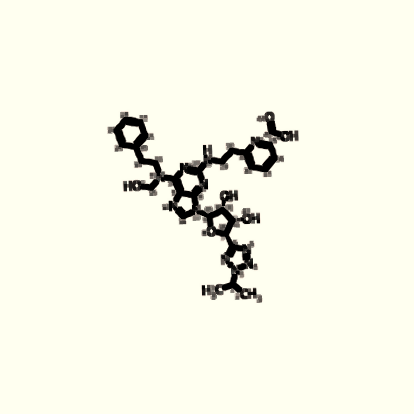 CC(C)n1nnc([C@H]2O[C@@H](n3cnc4c(N(CO)CCc5ccccc5)nc(NCCc5ccccn5)nc43)[C@H](O)[C@@H]2O)n1.O=CO